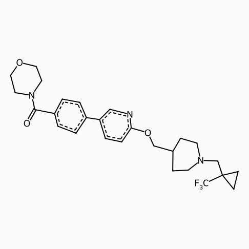 O=C(c1ccc(-c2ccc(OCC3CCN(CC4(C(F)(F)F)CC4)CC3)nc2)cc1)N1CCOCC1